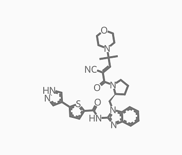 CC(C)(C=C(C#N)C(=O)N1CCC[C@H]1Cn1c(NC(=O)c2ccc(-c3cn[nH]c3)s2)nc2ccccc21)N1CCOCC1